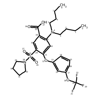 CCCCN(CCCC)c1cc(Oc2cccc(OC(F)(F)F)c2)c(S(=O)(=O)N2CCCC2)cc1C(=O)O